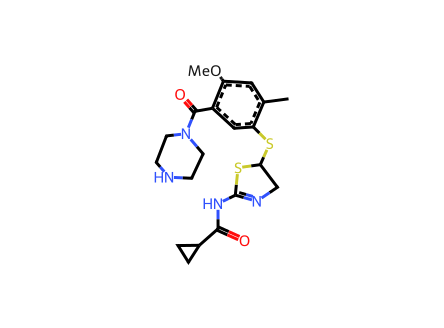 COc1cc(C)c(SC2CN=C(NC(=O)C3CC3)S2)cc1C(=O)N1CCNCC1